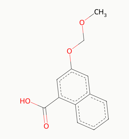 COCOc1cc(C(=O)O)c2ccccc2c1